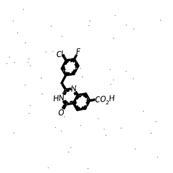 O=C(O)c1ccc2c(=O)[nH]c(Cc3ccc(F)c(Cl)c3)nc2c1